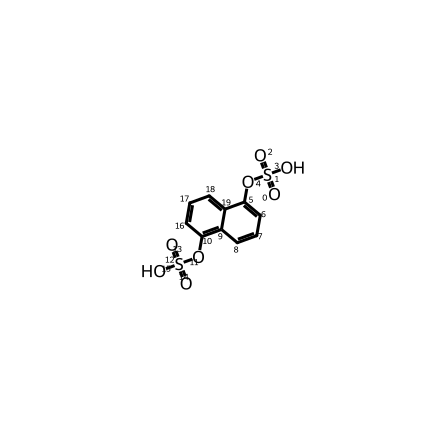 O=S(=O)(O)Oc1cccc2c(OS(=O)(=O)O)cccc12